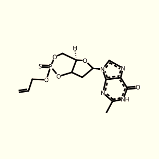 C=CCOP1(=S)OC[C@H]2O[C@@H](n3cnc4c(=O)[nH]c(C)nc43)CC2O1